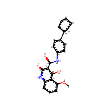 COc1cccc2[nH]c(=O)c(C(=O)Nc3ccc(-c4ccccc4)cc3)c(O)c12